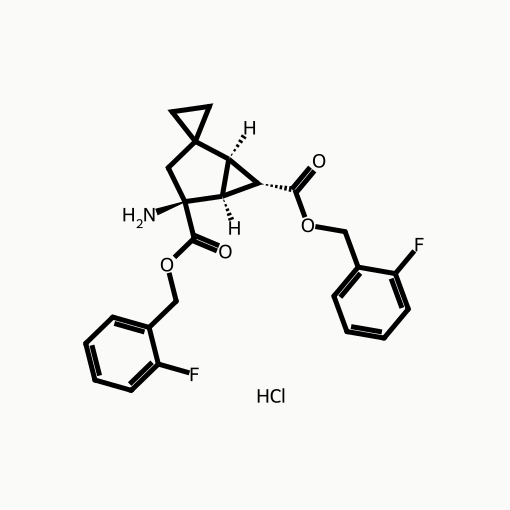 Cl.N[C@@]1(C(=O)OCc2ccccc2F)CC2(CC2)[C@H]2[C@H](C(=O)OCc3ccccc3F)[C@H]21